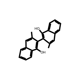 Cc1cc2ccccc2c(O)c1-c1c(C)cc2ccccc2c1O